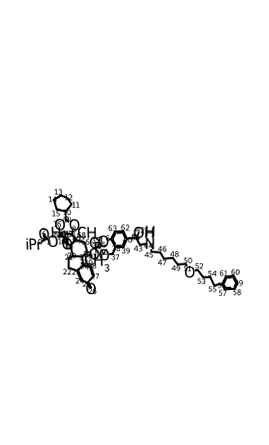 CC(C)C(=O)OCC(=O)[C@@]12O[C@H](C3CCCCC3)O[C@@H]1CC1C3CCC4=CC(=O)C=C[C@]4(C)C3[C@@H](OP3(=O)OCc4cc([C@@H](O)CNCCCCCCOCCCCc5ccccc5)ccc4O3)C[C@@]12C